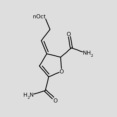 CCCCCCCCCC=C1C=C(C(N)=O)OC1C(N)=O